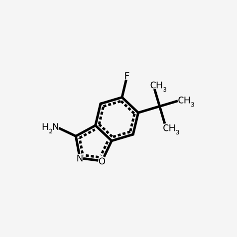 CC(C)(C)c1cc2onc(N)c2cc1F